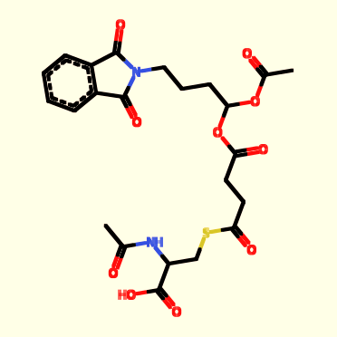 CC(=O)NC(CSC(=O)CCC(=O)OC(CCCN1C(=O)c2ccccc2C1=O)OC(C)=O)C(=O)O